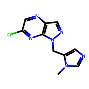 Cn1cncc1Cn1ncc2ncc(Cl)nc21